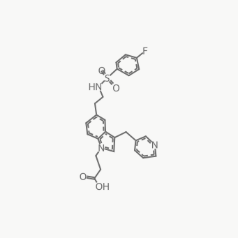 O=C(O)CCn1cc(Cc2cccnc2)c2cc(CCNS(=O)(=O)c3ccc(F)cc3)ccc21